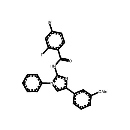 COc1cccc(-c2cn(-c3ccccc3)c(NC(=O)c3ccc(Br)cc3F)n2)c1